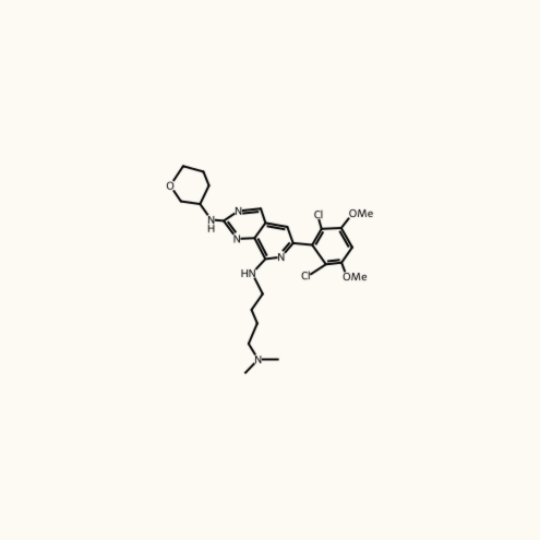 COc1cc(OC)c(Cl)c(-c2cc3cnc(NC4CCCOC4)nc3c(NCCCCN(C)C)n2)c1Cl